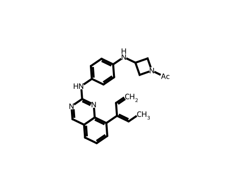 C=C/C(=C\C)c1cccc2cnc(Nc3ccc(NC4CN(C(C)=O)C4)cc3)nc12